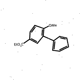 CCOC(=O)c1ccc(OC)c(-c2ccccc2)c1